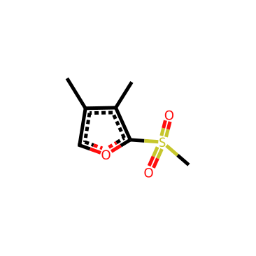 Cc1coc(S(C)(=O)=O)c1C